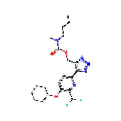 CCCCN(C)C(=O)OCc1c(-c2ccc(OC3CCCCC3)c(C(F)F)n2)nnn1C